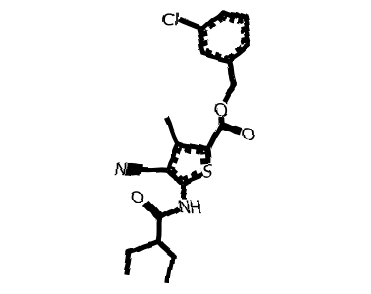 CCC(CC)C(=O)Nc1sc(C(=O)OCc2cccc(Cl)c2)c(C)c1C#N